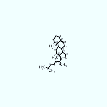 CC(C)CCC[C@H](C)[C@@H]1CCC2C3CC=C4CCCC[C@@]4(C)C3CC[C@]21C